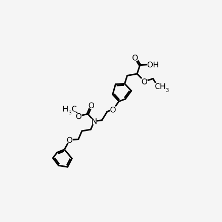 CCOC(Cc1ccc(OCCN(CCCOc2ccccc2)C(=O)OC)cc1)C(=O)O